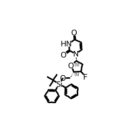 CC(C)(C)[Si](OC[C@@H]1O[C@H](n2ccc(=O)[nH]c2=O)CC1F)(c1ccccc1)c1ccccc1